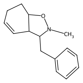 CN1OC2CCC=CC2C1Cc1ccccc1